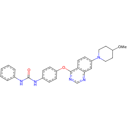 COC1CCN(c2ccc3c(Oc4ccc(NC(=O)Nc5ccccc5)cc4)ncnc3c2)CC1